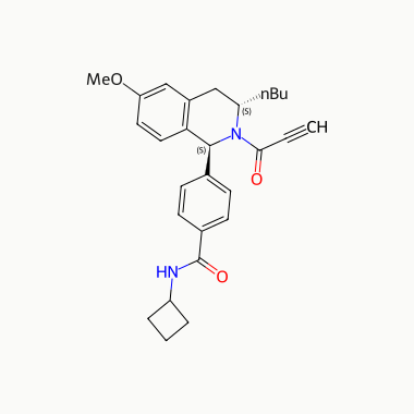 C#CC(=O)N1[C@@H](CCCC)Cc2cc(OC)ccc2[C@@H]1c1ccc(C(=O)NC2CCC2)cc1